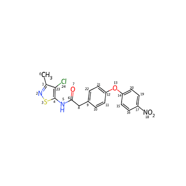 Cc1nsc(NC(=O)Cc2ccc(Oc3ccc([N+](=O)[O-])cc3)cc2)c1Cl